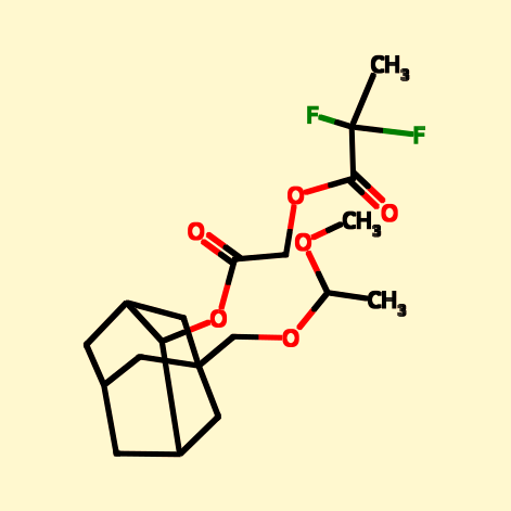 COC(C)OCC12CC3CC(C1)C(OC(=O)COC(=O)C(C)(F)F)C(C3)C2